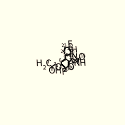 C=C(O)COc1cc2c(cc1F)C1(NC(=O)NC1=O)c1cc(F)ccc1-2